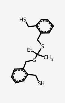 CCC(C)(SCc1ccccc1CS)SCc1ccccc1CS